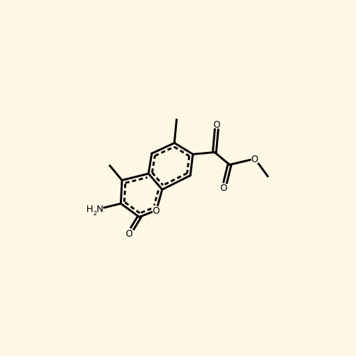 COC(=O)C(=O)c1cc2oc(=O)c(N)c(C)c2cc1C